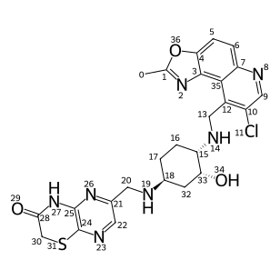 Cc1nc2c(ccc3ncc(Cl)c(CN[C@H]4CC[C@H](NCc5cnc6c(n5)NC(=O)CS6)C[C@H]4O)c32)o1